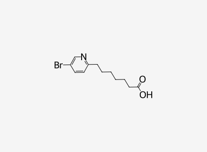 O=C(O)CCCCCCc1ccc(Br)cn1